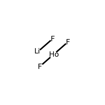 [F][Ho][F].[Li][F]